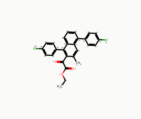 CCOC(=O)C(=O)c1c(C)cc2c(-c3ccc(Cl)cc3)cccc2c1-c1ccc(Cl)cc1